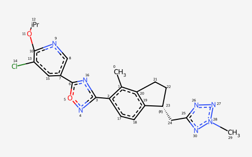 Cc1c(-c2noc(-c3cnc(OC(C)C)c(Cl)c3)n2)ccc2c1CC[C@@H]2Cc1nnn(C)n1